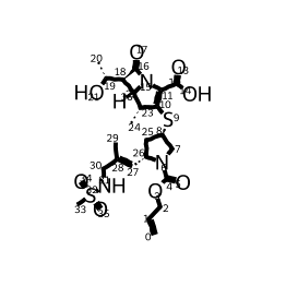 C=CCOC(=O)N1C[C@@H](SC2=C(C(=O)O)N3C(=O)[C@H]([C@@H](C)O)[C@H]3[C@H]2C)C[C@H]1/C=C(\C)CNS(C)(=O)=O